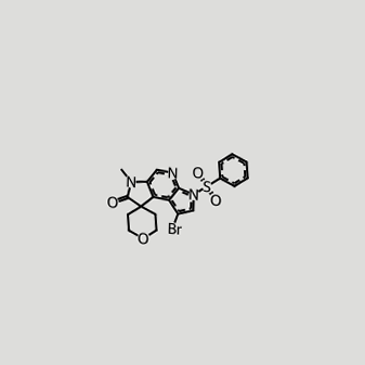 CN1C(=O)C2(CCOCC2)c2c1cnc1c2c(Br)cn1S(=O)(=O)c1ccccc1